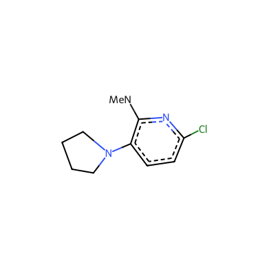 CNc1nc(Cl)ccc1N1CCCC1